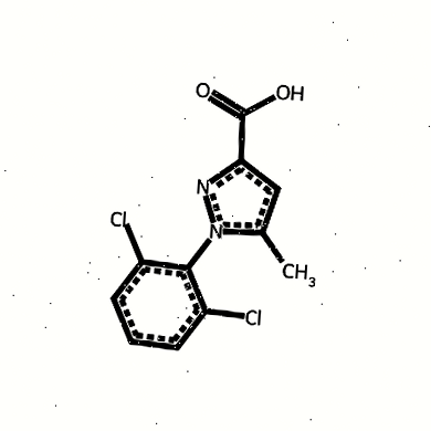 Cc1cc(C(=O)O)nn1-c1c(Cl)cccc1Cl